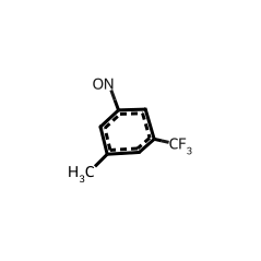 Cc1cc(N=O)cc(C(F)(F)F)c1